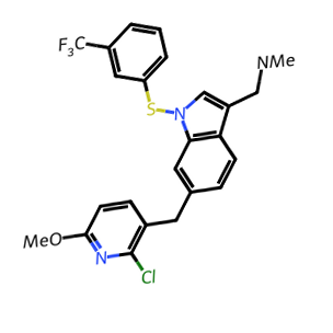 CNCc1cn(Sc2cccc(C(F)(F)F)c2)c2cc(Cc3ccc(OC)nc3Cl)ccc12